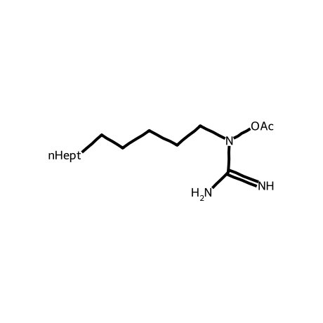 CCCCCCCCCCCCN(OC(C)=O)C(=N)N